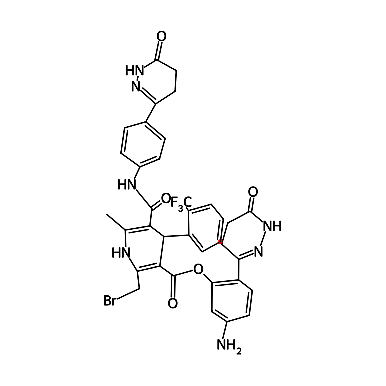 CC1=C(C(=O)Nc2ccc(C3=NNC(=O)CC3)cc2)C(c2ccccc2C(F)(F)F)C(C(=O)Oc2cc(N)ccc2C2=NNC(=O)CC2)=C(CBr)N1